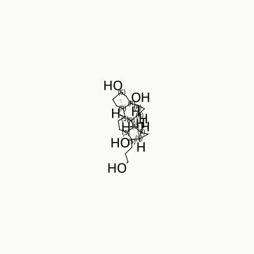 C[C@]12CC[C@H]3[C@@H]([C@H]4C[C@H]4[C@]4(O)C[C@@H](O)CC[C@]34C)[C@@H]1[C@@H]1C[C@@H]1[C@@]2(O)CCCO